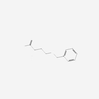 N[C@@H](CCOCc1ccccc1)C(=O)O